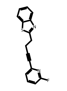 Fc1cccc(C#CCCc2nc3ccccc3s2)n1